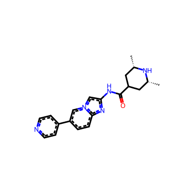 C[C@@H]1CC(C(=O)Nc2cn3cc(-c4ccncc4)ccc3n2)C[C@H](C)N1